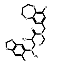 CC(C)CN(Cc1cc(Cl)c2c(c1)OCCCO2)C(=O)C(C)CN(C)c1cc2c(cc1Cl)OCO2